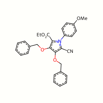 CCOC(=O)c1c(OCc2ccccc2)c(OCc2ccccc2)c(C#N)n1-c1ccc(OC)cc1